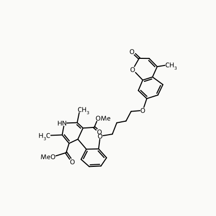 COC(=O)C1=C(C)NC(C)=C(C(=O)OC)C1c1ccccc1OCCCCOc1ccc2c(C)cc(=O)oc2c1